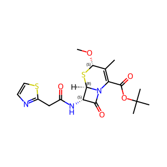 CO[C@H]1S[C@@H]2[C@@H](NC(=O)Cc3nccs3)C(=O)N2C(C(=O)OC(C)(C)C)=C1C